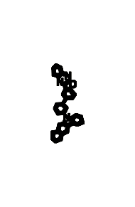 c1cc(-c2ccc3oc4nc5ccccc5nc4c3c2)cc(-n2c3ccccc3c3cc4ccccc4cc32)c1